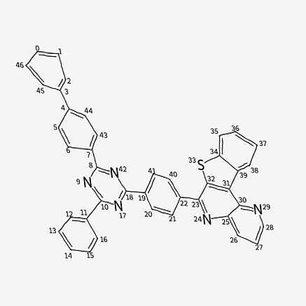 c1ccc(-c2ccc(-c3nc(-c4ccccc4)nc(-c4ccc(-c5nc6cccnc6c6c5sc5ccccc56)cc4)n3)cc2)cc1